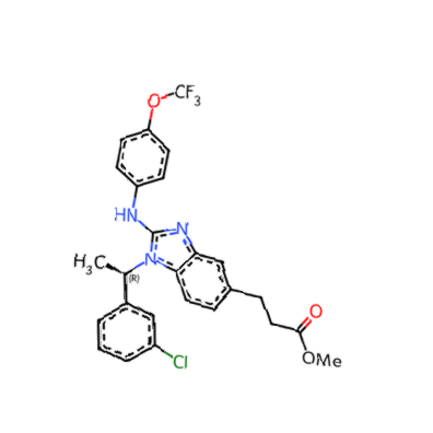 COC(=O)CCc1ccc2c(c1)nc(Nc1ccc(OC(F)(F)F)cc1)n2[C@H](C)c1cccc(Cl)c1